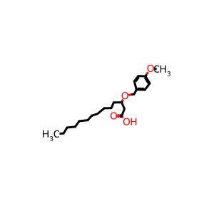 CCCCCCCCCCCC(CC(=O)O)OCc1ccc(OC)cc1